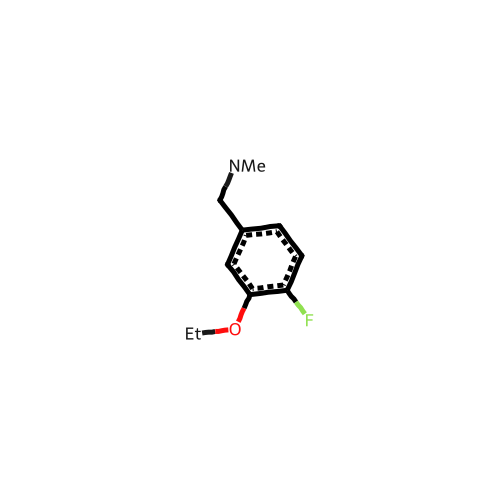 CCOc1cc(CNC)ccc1F